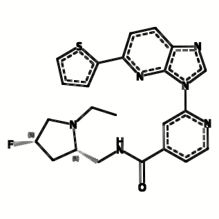 CCN1C[C@@H](F)C[C@H]1CNC(=O)c1ccnc(-n2cnc3ccc(-c4cccs4)nc32)c1